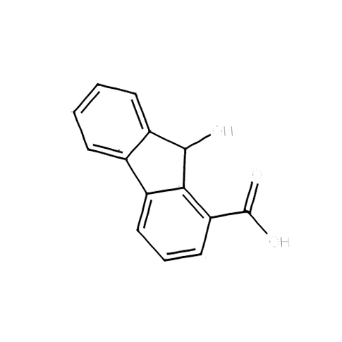 O=C(O)c1cccc2c1C(O)c1ccccc1-2